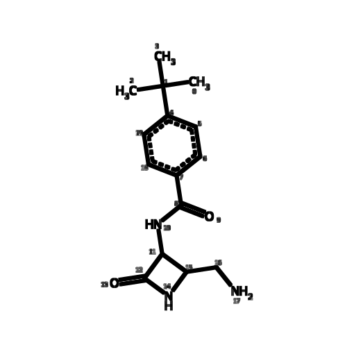 CC(C)(C)c1ccc(C(=O)NC2C(=O)NC2CN)cc1